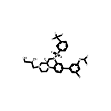 O=S(=O)(c1cccc(C(F)(F)F)c1)N1C[C@@H]2CN(C[C@@H](O)CO)CCN2c2ccc(-c3cc(F)cc(OC(F)F)c3)cc21